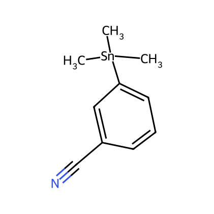 [CH3][Sn]([CH3])([CH3])[c]1cccc(C#N)c1